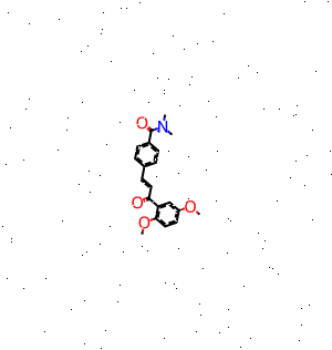 COc1ccc(OC)c(C(=O)/C=C/c2ccc(C(=O)N(C)C)cc2)c1